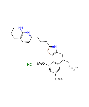 CCOC(=O)CC(Cc1csc(CCCc2ccc3c(n2)NCCC3)n1)c1cc(OC)cc(OC)c1.Cl